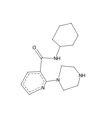 O=C(NC1CCCCC1)c1cccnc1N1CCNCC1